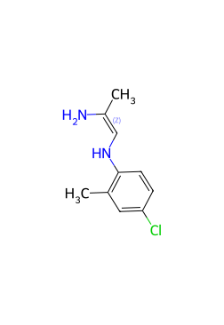 C/C(N)=C/Nc1ccc(Cl)cc1C